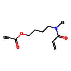 C=CC(=O)N(CC)CCCCOC(=O)C(C)(C)C